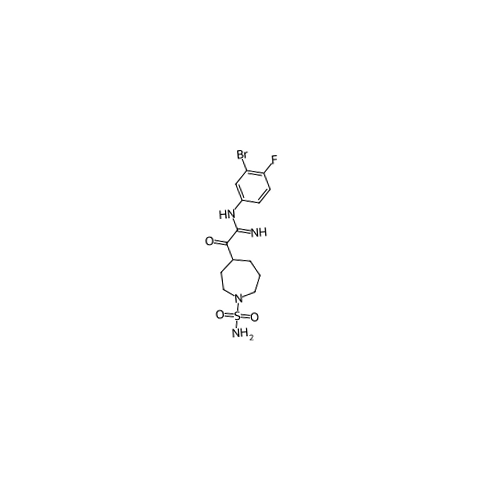 N=C(Nc1ccc(F)c(Br)c1)C(=O)C1CCCN(S(N)(=O)=O)CC1